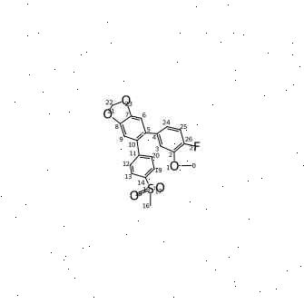 COc1cc(-c2cc3c(cc2-c2ccc(S(C)(=O)=O)cc2)OCO3)ccc1F